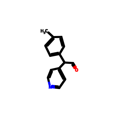 Cc1ccc(C(C=O)c2ccncc2)cc1